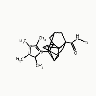 CC1=C(C)C(C)[Si](C2C3CC4(C(=O)[NH][Ti])CC25C2C46C4C6(C3)C245)=C1C